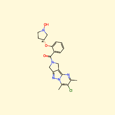 Cc1nc2c3c(nn2c(C)c1Cl)CN(C(=O)c1ccccc1O[C@@H]1CCN(O)C1)C3